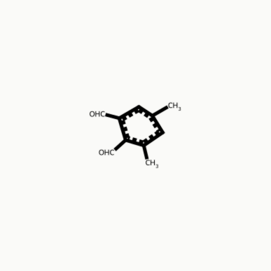 Cc1cc(C)c(C=O)c(C=O)c1